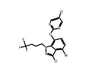 FC(F)(F)CCCn1nc(Cl)c2c(Br)ccc(Oc3ncc(Cl)cn3)c21